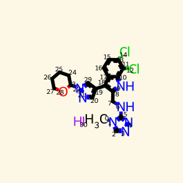 Cn1cnnc1NCc1[nH]c2c(Cl)c(Cl)ccc2c1-c1cnn(C2CCCCO2)c1.I